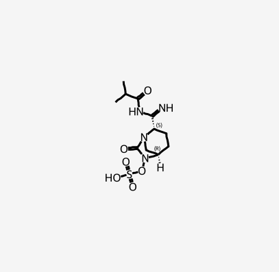 CC(C)C(=O)NC(=N)[C@@H]1CC[C@@H]2CN1C(=O)N2OS(=O)(=O)O